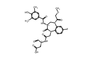 COCC(=O)N1C[C@H](NC(=O)c2cc(C)c(O)c(C)c2)C(=O)N(CC(=O)N[C@H](C=O)CC(=O)O)c2ccc(F)cc21